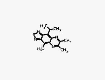 Cc1nc2c(C)c3nsnc3c(C(C)C)c2nc1C